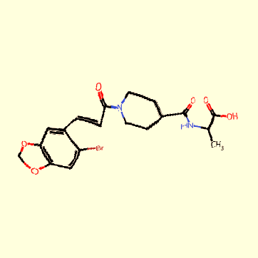 CC(NC(=O)C1CCN(C(=O)C=Cc2cc3c(cc2Br)OCO3)CC1)C(=O)O